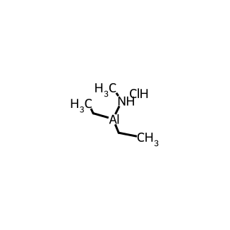 C[CH2][Al]([CH2]C)[NH]C.Cl